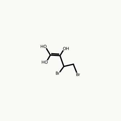 OC(O)=C(O)C(Br)CBr